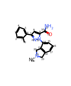 Cc1ccccc1-c1cc(C(N)=O)n(-c2cccc3c2CN(C#N)C3)n1